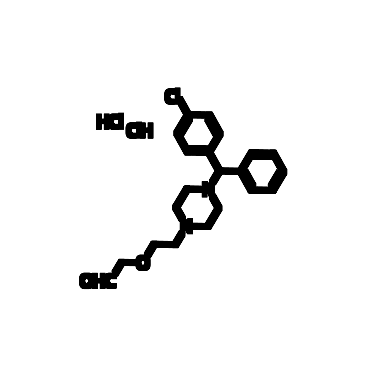 Cl.Cl.O=CCOCCN1CCN(C(c2ccccc2)c2ccc(Cl)cc2)CC1